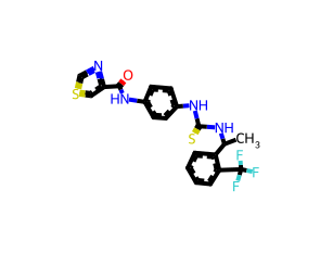 CC(NC(=S)Nc1ccc(NC(=O)c2cscn2)cc1)c1ccccc1C(F)(F)F